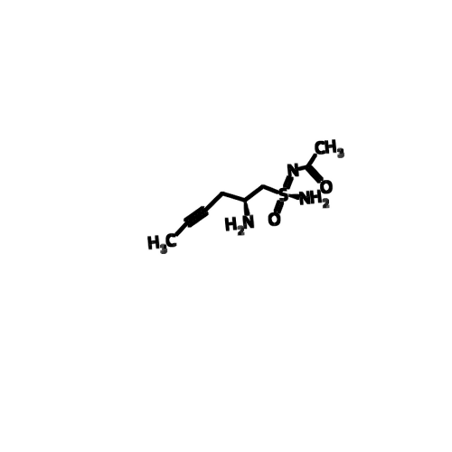 CC#CC[C@H](N)C[S@@](N)(=O)=NC(C)=O